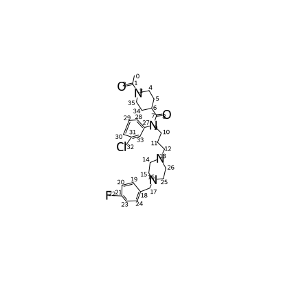 CC(=O)N1CCC(C(=O)N(CCCN2CCN(Cc3ccc(F)cc3)CC2)c2cccc(Cl)c2)CC1